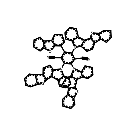 N#Cc1c(-c2cccc3c2oc2ccccc23)c(-n2c3ccccc3c3c4sc5ccccc5c4ccc32)c(C#N)c(-n2c3ccccc3c3c4sc5ccccc5c4ccc32)c1-n1c2ccccc2c2c3sc4ccccc4c3ccc21